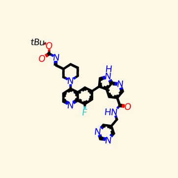 CC(C)(C)OC(=O)/N=C/C1CCCN(c2ccnc3c(F)cc(-c4c[nH]c5ncc(C(=O)NCc6cncnc6)cc45)cc23)C1